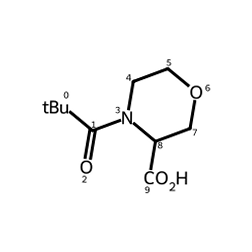 CC(C)(C)C(=O)N1CCOCC1C(=O)O